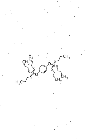 C=CCS[Si](Oc1ccc(O[Si](SCC=C)(SCC=C)SCC=C)cc1)(SCC=C)SCC=C